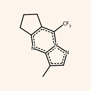 Cc1cnn2c(C(F)(F)F)c3c(nc12)CCC3